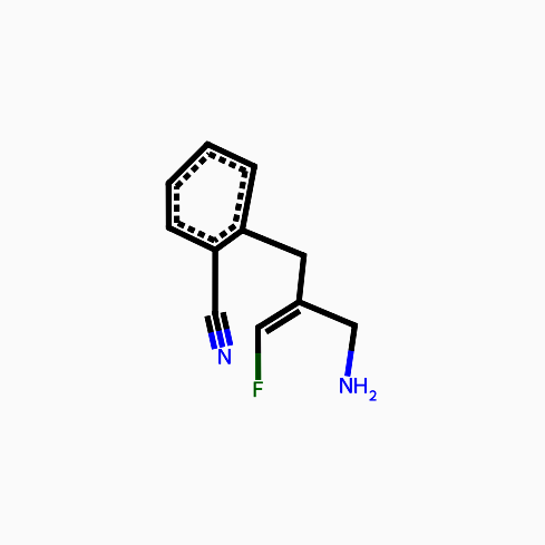 N#Cc1ccccc1CC(=CF)CN